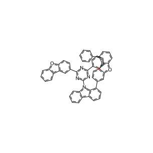 c1ccc(-c2nc(-c3ccc4oc5ccccc5c4c3)nc(-n3c4ccccc4c4cccc(-c5ccc6c(c5)oc5cccc(-c7ccccc7)c56)c43)n2)cc1